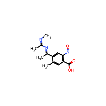 C/N=C(C)\N=C(/C)c1cc(N=O)c(C(=O)O)cc1C